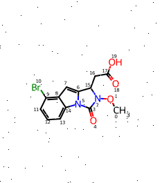 CON1C(=O)n2c(cc3c(Br)cccc32)C1CC(=O)O